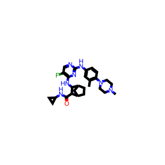 Cc1cc(Nc2ncc(F)c(NC3C4CCC(C4)C3C(=O)NC3CC3)n2)ccc1N1CCN(C)CC1